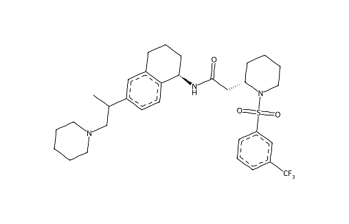 CC(CN1CCCCC1)c1ccc2c(c1)CCC[C@H]2NC(=O)C[C@@H]1CCCCN1S(=O)(=O)c1cccc(C(F)(F)F)c1